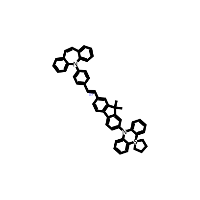 CC1(C)c2cc(/C=C/c3ccc(N4c5ccccc5C=Cc5ccccc54)cc3)ccc2-c2ccc(N3c4ccccc4S4(CCCC4)c4ccccc43)cc21